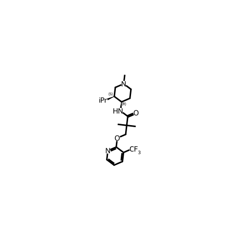 CC(C)[C@H]1CN(C)CC[C@H]1NC(=O)C(C)(C)COc1ncccc1C(F)(F)F